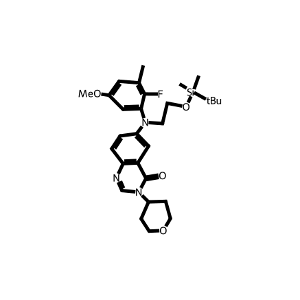 COc1cc(C)c(F)c(N(CCO[Si](C)(C)C(C)(C)C)c2ccc3ncn(C4CCOCC4)c(=O)c3c2)c1